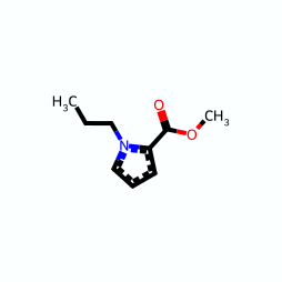 CCCn1cccc1C(=O)OC